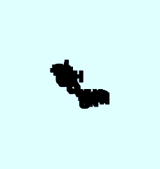 CCCN(NC(=O)c1ccc(CNC(=O)C2=Nc3cnccc3C2)cc1)C(=O)OC(C)(C)C